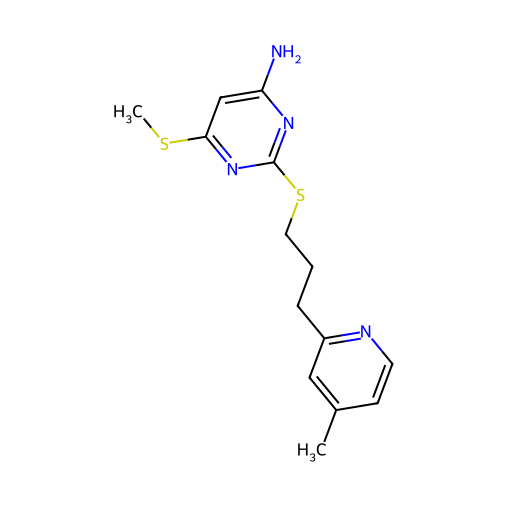 CSc1cc(N)nc(SCCCc2cc(C)ccn2)n1